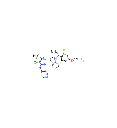 CCOc1cc(F)c(Cn2c(CC)c(-c3nc(C)c(Cl)c(Nc4ccncc4)n3)c3ccccc32)c(F)c1